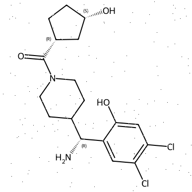 N[C@@H](c1cc(Cl)c(Cl)cc1O)C1CCN(C(=O)[C@@H]2CC[C@H](O)C2)CC1